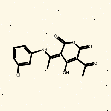 CC(=O)C1=C(O)/C(=C(\C)Nc2cccc(Cl)c2)C(=O)OC1=O